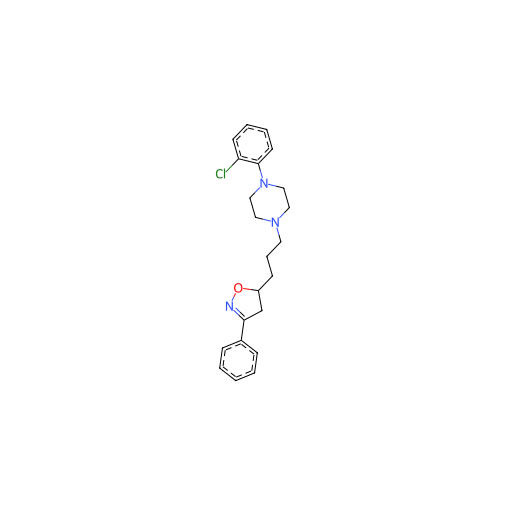 Clc1ccccc1N1CCN(CCCC2CC(c3ccccc3)=NO2)CC1